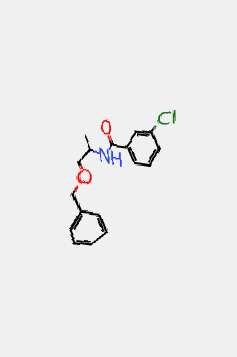 CC(COCc1ccccc1)NC(=O)c1cccc(Cl)c1